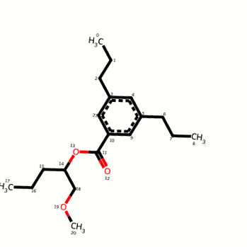 CCCc1cc(CCC)cc(C(=O)OC(CCC)COC)c1